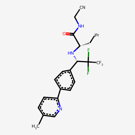 Cc1ccc(-c2ccc([C@H](N[C@@H](CC(C)C)C(=O)NCC#N)C(F)(F)C(F)(F)F)cc2)nc1